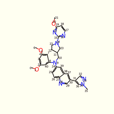 COc1cc(OC)cc(N(CC2CCN(c3nccc(OC)n3)C2)c2ccc3ncc(-c4cnn(C)c4)cc3c2)c1